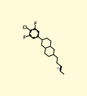 C/C=C/CCC1CCC2CC(c3cc(F)c(Cl)c(F)c3)CCC2C1